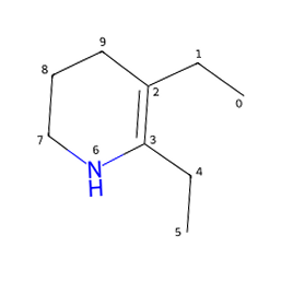 CCC1=C(CC)NCCC1